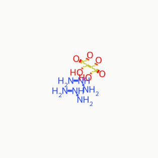 NNN.NNN.O=S(=O)(O)S(=O)(=O)O